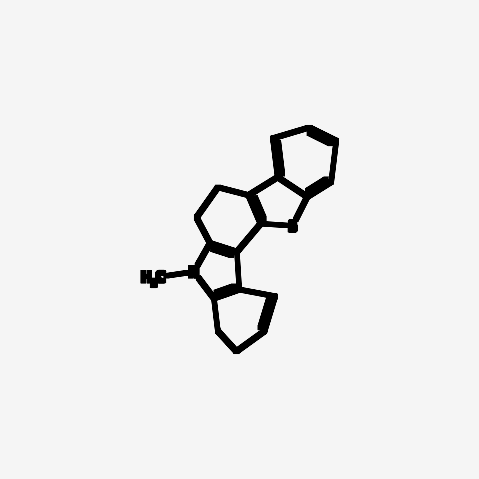 Cn1c2c(c3c1CCc1c-3sc3ccccc13)C=CCC2